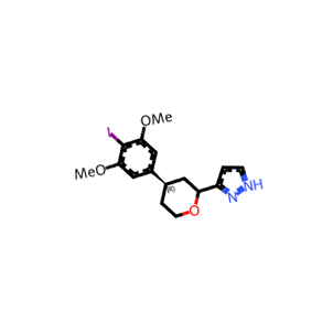 COc1cc([C@@H]2CCOC(c3cc[nH]n3)C2)cc(OC)c1I